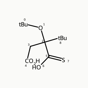 CC(C)(C)OC(CC(=O)O)(C(O)=S)C(C)(C)C